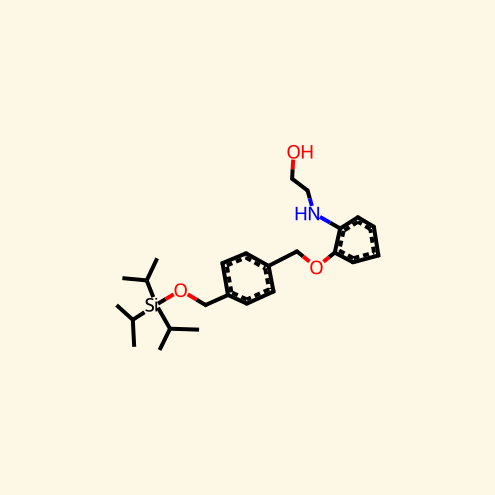 CC(C)[Si](OCc1ccc(COc2ccccc2NCCO)cc1)(C(C)C)C(C)C